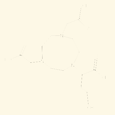 CCCC(C(C)=O)N1CCN(CC(=O)O)CCN(CC(=O)O)CC1